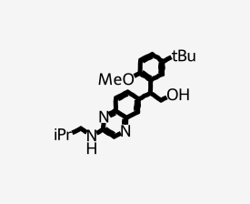 COc1ccc(C(C)(C)C)cc1C(CO)c1ccc2nc(NCC(C)C)cnc2c1